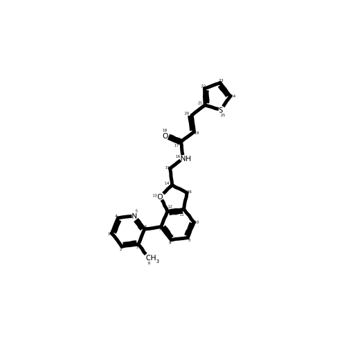 Cc1cccnc1-c1cccc2c1OC(CNC(=O)C=Cc1cccs1)C2